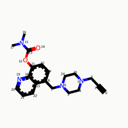 C#CCN1CCN(Cc2ccc(OC(=O)N(C)C)c3ncccc23)CC1